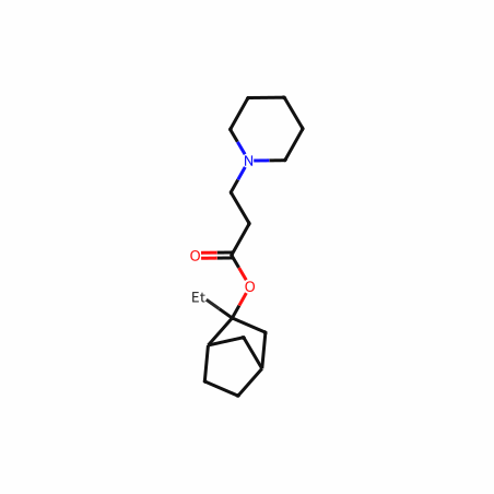 CCC1(OC(=O)CCN2CCCCC2)CC2CCC1C2